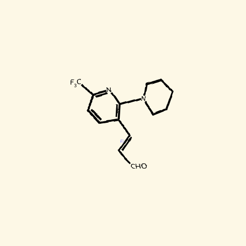 O=C/C=C/c1ccc(C(F)(F)F)nc1N1CCCCC1